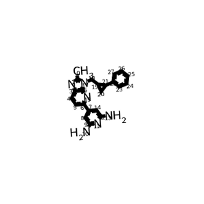 Cc1nc2ccc(-c3cc(N)nc(N)c3)nc2n1CC1CC1c1ccccc1